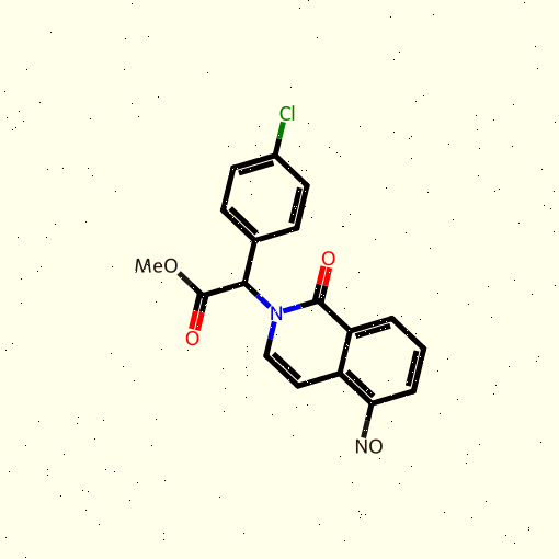 COC(=O)C(c1ccc(Cl)cc1)n1ccc2c(N=O)cccc2c1=O